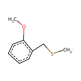 [CH2]SCc1ccccc1OC